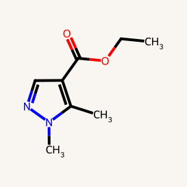 CCOC(=O)c1cnn(C)c1C